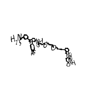 NC(=S)c1cccc(-c2cn(C3CCC(F)(F)CC3)c3cc(NC(=O)CCCOCCCOCCC#Cc4cccc5c4CN(C4CCC(=O)NC4=O)C5=O)ccc23)c1